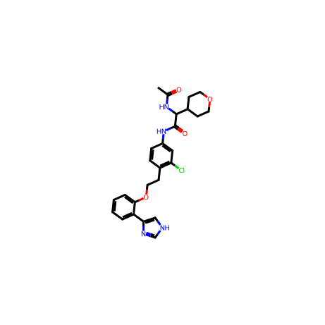 CC(=O)NC(C(=O)Nc1ccc(CCOc2ccccc2-c2c[nH]cn2)c(Cl)c1)C1CCOCC1